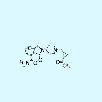 CC1c2cccc(C(N)=O)c2C(=O)N1C1CCN(CC2CC2C(=O)O)CC1